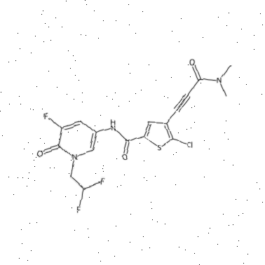 CN(C)C(=O)C#Cc1cc(C(=O)Nc2cc(F)c(=O)n(CC(F)F)c2)sc1Cl